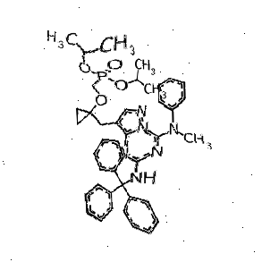 CC(C)OP(=O)(COC1(Cc2cnn3c(N(C)c4ccccc4)nc(NC(c4ccccc4)(c4ccccc4)c4ccccc4)nc23)CC1)OC(C)C